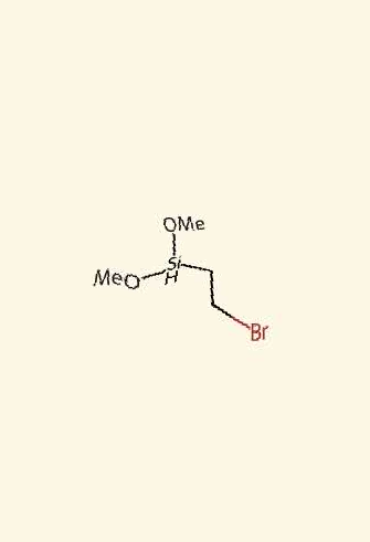 CO[SiH](CCBr)OC